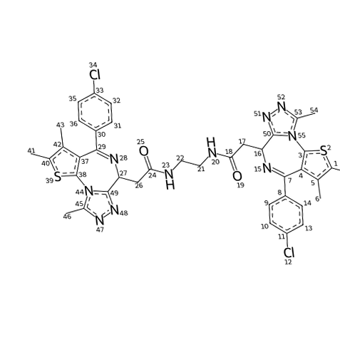 Cc1sc2c(c1C)C(c1ccc(Cl)cc1)=NC(CC(=O)NCCNC(=O)CC1N=C(c3ccc(Cl)cc3)c3c(sc(C)c3C)-n3c(C)nnc31)c1nnc(C)n1-2